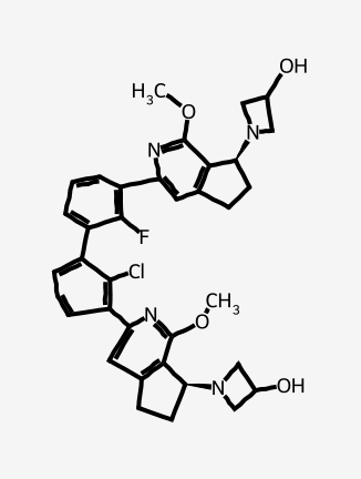 COc1nc(-c2cccc(-c3cccc(-c4cc5c(c(OC)n4)[C@@H](N4CC(O)C4)CC5)c3Cl)c2F)cc2c1[C@@H](N1CC(O)C1)CC2